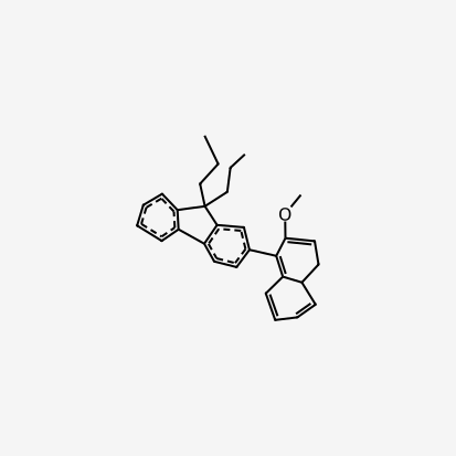 CCCC1(CCC)c2ccccc2-c2ccc(C3=C4C=CC=CC4CC=C3OC)cc21